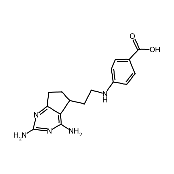 Nc1nc(N)c2c(n1)CCC2CCNc1ccc(C(=O)O)cc1